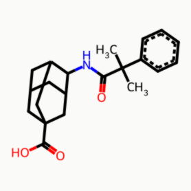 CC(C)(C(=O)NC1C2CC3CC1CC(C(=O)O)(C3)C2)c1ccccc1